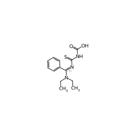 CCN(CC)/C(=N/C(=S)NC(=O)O)c1ccccc1